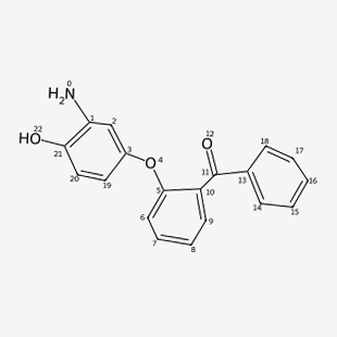 Nc1cc(Oc2ccccc2C(=O)c2ccccc2)ccc1O